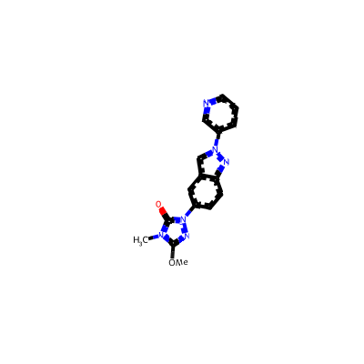 COc1nn(-c2ccc3nn(-c4cccnc4)cc3c2)c(=O)n1C